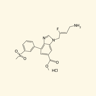 COC(=O)c1cc(-c2cccc(S(C)(=O)=O)c2)c2ncn(CC(F)=CCN)c2c1.Cl